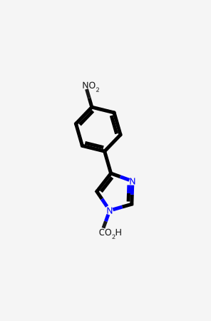 O=C(O)n1cnc(-c2ccc([N+](=O)[O-])cc2)c1